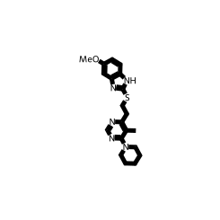 COc1ccc2[nH]c(SCCc3ncnc(N4CCCCC4)c3C)nc2c1